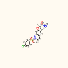 CC(Cc1ccc(OC(C)(C)C(=O)N(C)C)cc1)NS(=O)(=O)c1ccc(Cl)cc1